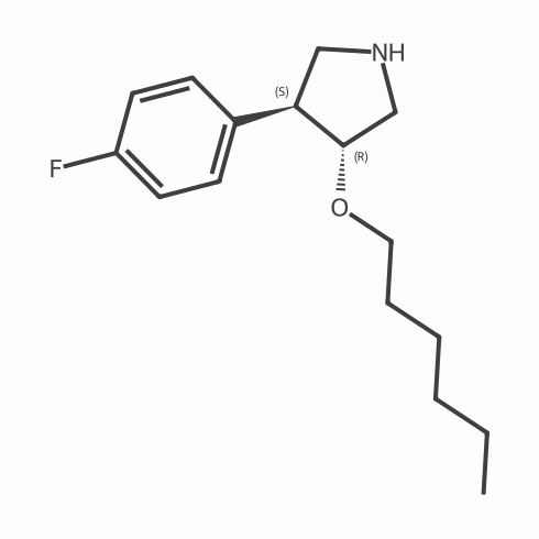 CCCCCCO[C@H]1CNC[C@@H]1c1ccc(F)cc1